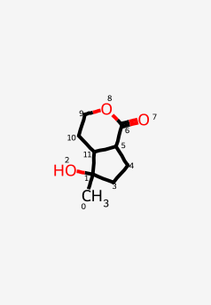 CC1(O)CCC2C(=O)OCCC21